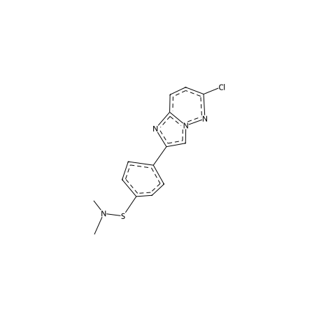 CN(C)Sc1ccc(-c2cn3nc(Cl)ccc3n2)cc1